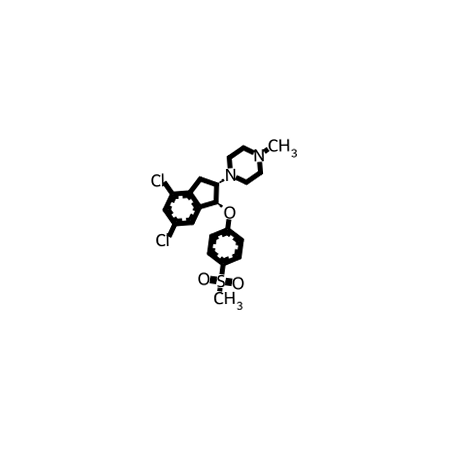 CN1CCN([C@H]2Cc3c(Cl)cc(Cl)cc3[C@H]2Oc2ccc(S(C)(=O)=O)cc2)CC1